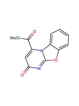 COC(=O)c1cc(=O)nc2oc3ccccc3n12